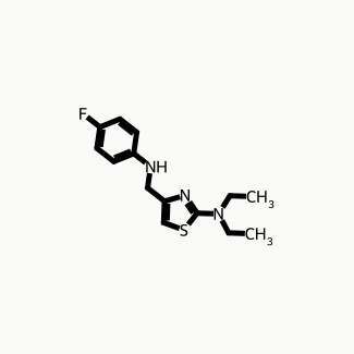 CCN(CC)c1nc(CNc2ccc(F)cc2)cs1